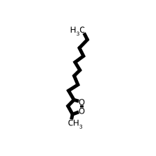 CCCCCCCCCC1CC(C)OO1